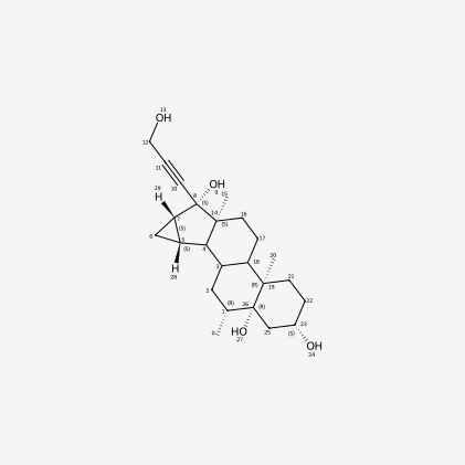 C[C@@H]1CC2C3[C@@H]4C[C@@H]4[C@@](O)(C#CCO)[C@@]3(C)CCC2[C@@]2(C)CC[C@H](O)C[C@@]12O